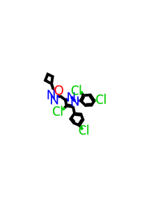 Clc1ccc(-c2c(Cl)c(-c3nnc(C4CCC4)o3)nn2-c2ccc(Cl)cc2Cl)cc1